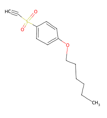 C#CS(=O)(=O)c1ccc(OCCCCCC)cc1